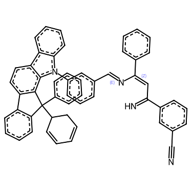 N#Cc1cccc(C(=N)/C=C(\N=C\c2cccc(-n3c4ccccc4c4ccc5c(c43)C(c3ccccc3)(C3C=CC=CC3)c3ccccc3-5)c2)c2ccccc2)c1